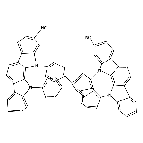 [C-]#[N+]c1ccc2c3ccc4c5ccccc5n(-c5ccccc5)c4c3n(-c3ccc(-c4cncc(-n5c6cc(C#N)ccc6c6ccc7c8ccccc8n(-c8ccccc8)c7c65)c4)cc3)c2c1